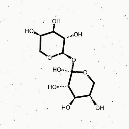 O[C@@H]1[C@@H](O[C@@]2(O)OC[C@@H](O)[C@@H](O)[C@@H]2O)OC[C@@H](O)[C@H]1O